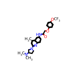 Cc1cc(N2CCC(N(C)C)C2)nc2ccc(NC(=O)COc3ccc(OC(F)(F)F)cc3)cc12